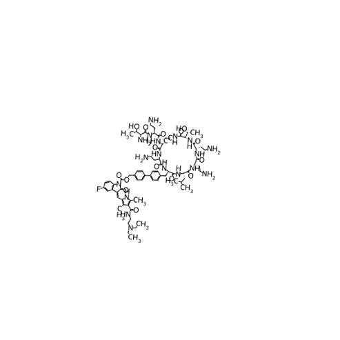 CCN(CC)CCNC(=O)c1c(C)[nH]c(/C=C2\C(=O)N(C(=O)OCc3ccc(-c4ccc(C[C@H]5NC(=O)C(CCN)NC(=O)[C@@H](NC(=O)[C@H](CCN)NC(=O)[C@@H](N)[C@@H](C)O)CCNC(=O)[C@H]([C@@H](C)O)NC(=O)[C@H](CCN)NC(=O)[C@H](CCN)NC(=O)[C@H](CC(C)C)NC5=O)cc4)cc3)c3ccc(F)cc32)c1C